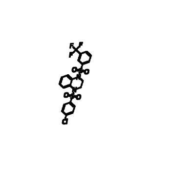 O=S(=O)(c1ccc(Cl)cc1)N1CCN(S(=O)(=O)c2cccc(C(F)(F)F)c2)c2ccccc21